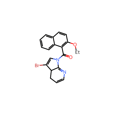 CCOc1ccc2ccccc2c1C(=O)N1C=C(Br)C2CC=CN=C21